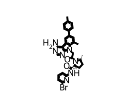 Cc1ccc(-c2cc(C)c3c(c2)c2c(N)ncnc2n3CC(=O)N2[C@H](C)CC[C@H]2C(=O)Nc2cccc(Br)n2)cc1